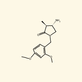 COc1ccc(CN2C[C@@H](N)[C@H](C)C2=O)c(OC)c1